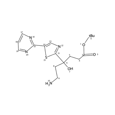 CC(C)(C)OC(=O)CCC(O)(CCN)c1ncc(-c2ncccn2)s1